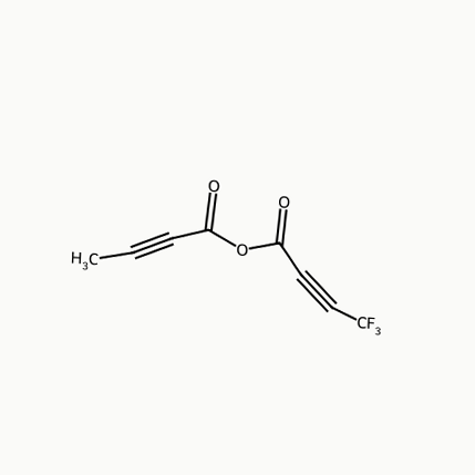 CC#CC(=O)OC(=O)C#CC(F)(F)F